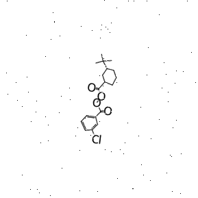 CC(C)(C)C1CCCC(C(=O)OOC(=O)c2cccc(Cl)c2)C1